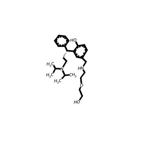 CC(C)N(CC[C@H](c1ccccc1)c1cc(CNCCOCCO)ccc1O)C(C)C